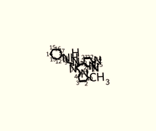 Cc1cccc(-c2nc(CNC3CCCCCC3)[nH]c2-c2ccc3ncnn3c2)n1